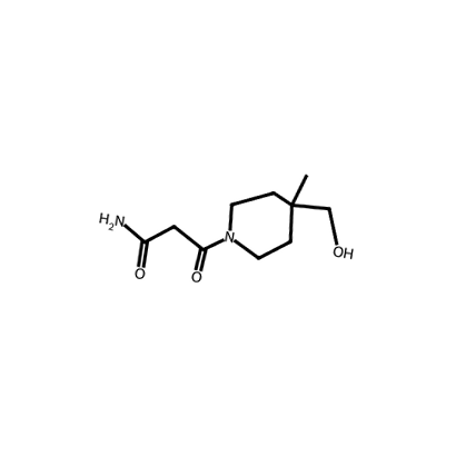 CC1(CO)CCN(C(=O)CC(N)=O)CC1